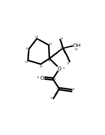 C=C(C)C(=O)OC1(C(C)(C)O)CCCCC1